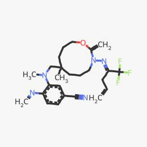 C=CC/C(=N\N1CCCC(C)(CN(C)c2cc(C#N)ccc2N=C)CCCOC1=C)C(F)(F)F